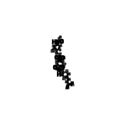 CC(=O)Nc1ccc(CCS(=O)(=O)N2CCC3(CC2)N=C(C2CCC(=CCC(F)F)CC2)NC3=O)c(C)c1